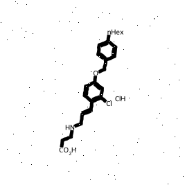 CCCCCCc1ccc(COc2ccc(C=CCNCCC(=O)O)c(Cl)c2)cc1.Cl